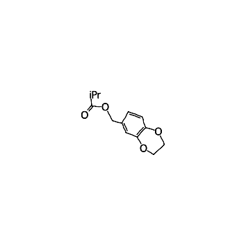 CC(C)C(=O)OCc1ccc2c(c1)OCCO2